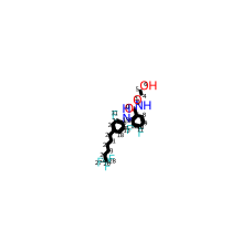 O=C(NOCCO)c1ccc(F)c(F)c1Nc1ccc(CCCCCC(F)(F)F)cc1F